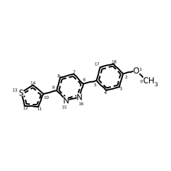 COc1ccc(-c2ccc(-c3ccsc3)nn2)cc1